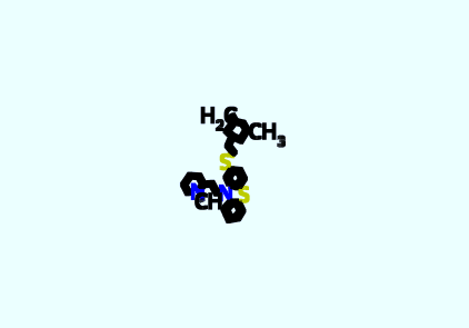 C=C1CC(C)CC(CCSc2ccc3c(c2)N(CCC2CCCCN2C)c2ccccc2S3)C1